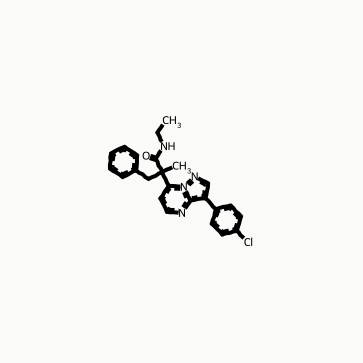 CCNC(=O)C(C)(Cc1ccccc1)c1ccnc2c(-c3ccc(Cl)cc3)cnn12